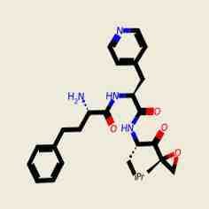 CC(C)C[C@H](NC(=O)[C@H](Cc1ccncc1)NC(=O)[C@@H](N)CCc1ccccc1)C(=O)[C@@]1(C)CO1